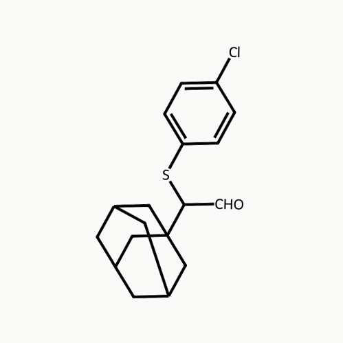 O=CC(Sc1ccc(Cl)cc1)C12CC3CC(CC(C3)C1)C2